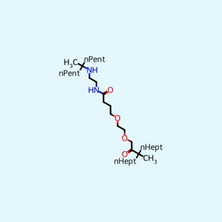 CCCCCCCC(C)(CCCCCCC)C(=O)COCCOCCCC(=O)NCCNC(C)(CCCCC)CCCCC